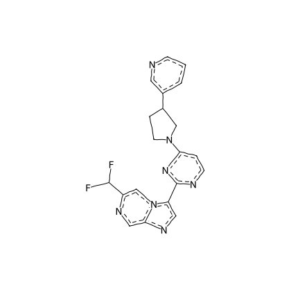 FC(F)c1cn2c(-c3nccc(N4CCC(c5cccnc5)C4)n3)cnc2cn1